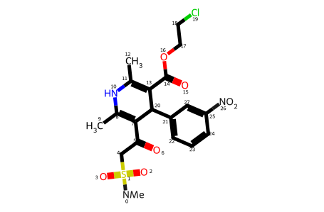 CNS(=O)(=O)CC(=O)C1=C(C)NC(C)=C(C(=O)OCCCl)C1c1cccc([N+](=O)[O-])c1